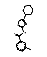 O=C(Nc1nnc(C2CCCCC2)o1)c1cccc(F)c1